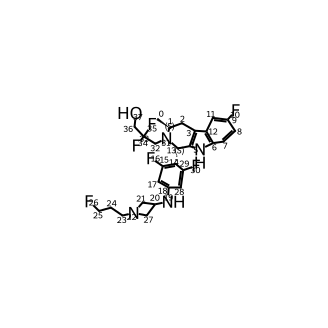 C[C@H]1Cc2c([nH]c3ccc(F)cc23)[C@H](c2c(F)cc(NC3CN(CCCF)C3)cc2F)N1CC(F)(F)CO